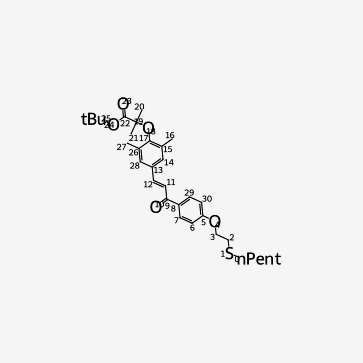 CCCCCSCCOc1ccc(C(=O)C=Cc2cc(C)c(OC(C)(C)C(=O)OC(C)(C)C)c(C)c2)cc1